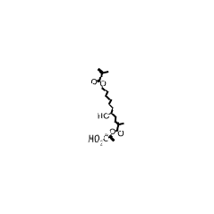 C=C(C)C(=O)OCCCCCCC(O)CC=C(C)C(=O)OC(=C)C(=O)O